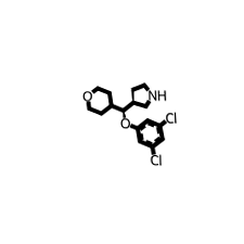 Clc1cc(Cl)cc(O[C@@H](C2CCOCC2)[C@H]2CCNC2)c1